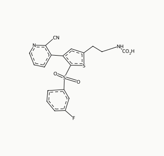 N#Cc1ncccc1-c1cc(CCNC(=O)O)sc1S(=O)(=O)c1cccc(F)c1